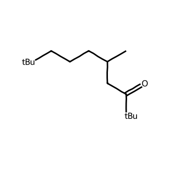 CC(CCCC(C)(C)C)CC(=O)C(C)(C)C